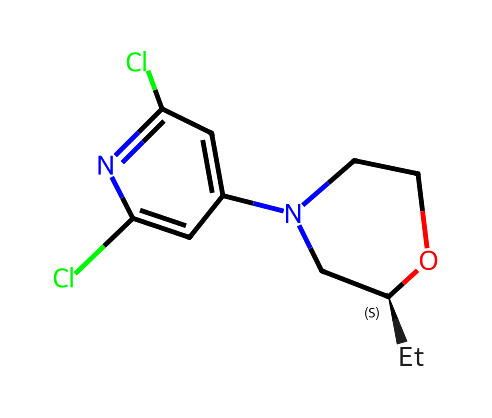 CC[C@H]1CN(c2cc(Cl)nc(Cl)c2)CCO1